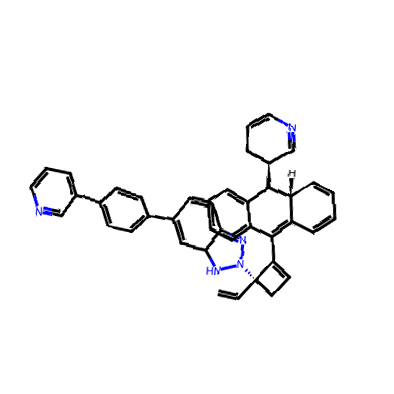 C=C[C@]1(N2N=C3C=CC(c4ccc(-c5cccnc5)cc4)=CC3N2)CC=C1C1=C2C=CC=C[C@H]2C([C@@H]2C=NC=CC2)c2ccccc21